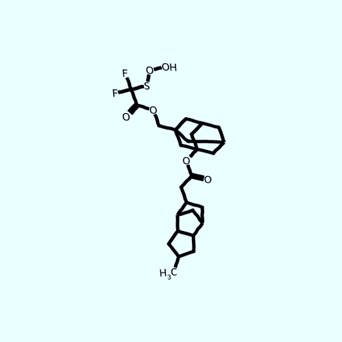 CC1CC2C3CC(CC(=O)OC45CC6CC(CC(COC(=O)C(F)(F)SOO)(C6)C4)C5)C(C3)C2C1